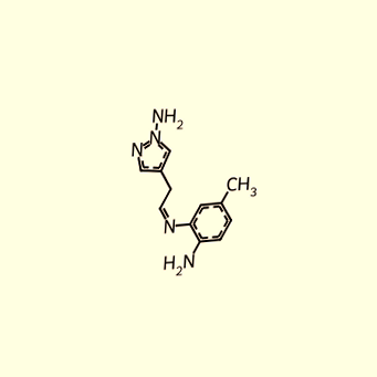 Cc1ccc(N)c(/N=C\Cc2cnn(N)c2)c1